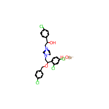 O.OC(Cn1cc[n+](CC(OCc2ccc(Cl)cc2)c2ccc(Cl)cc2Cl)c1)c1ccc(Cl)cc1.[Br-]